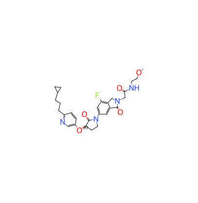 COCCNC(=O)CN1Cc2c(F)cc(N3CC[C@@H](Oc4ccc(CCCC5CC5)nc4)C3=O)cc2C1=O